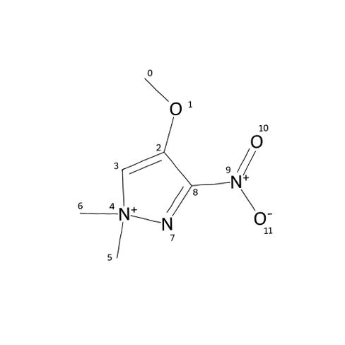 COC1=C[N+](C)(C)N=C1[N+](=O)[O-]